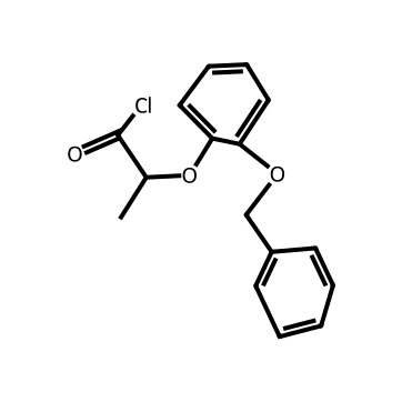 CC(Oc1ccccc1OCc1ccccc1)C(=O)Cl